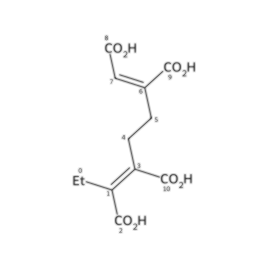 CCC(C(=O)O)=C(CCC(=CC(=O)O)C(=O)O)C(=O)O